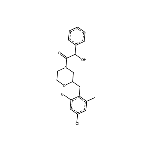 Cc1cc(Cl)cc(Br)c1CC1CN(C(=O)C(O)c2ccccc2)CCO1